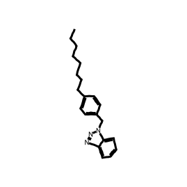 CCCCCCCCc1ccc(Cn2nnc3ccccc32)cc1